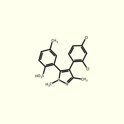 Cc1ccc(S(=O)(=O)O)c(-c2c(-c3ccc(Cl)cc3Cl)c(C)nn2C)c1